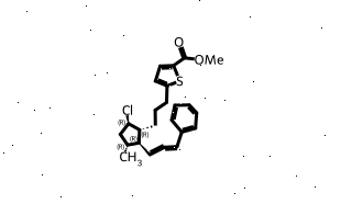 COC(=O)c1ccc(CCC[C@@H]2[C@@H](C=C=Cc3ccccc3)[C@H](C)C[C@H]2Cl)s1